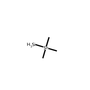 [CH3][Sn]([CH3])([CH3])[SiH3]